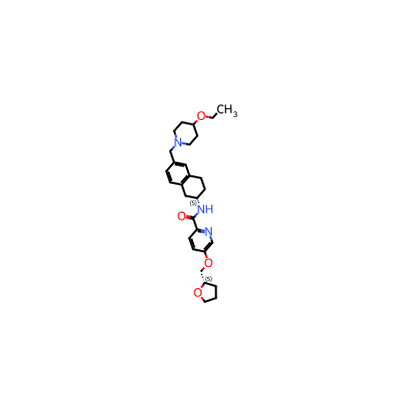 CCOC1CCN(Cc2ccc3c(c2)CC[C@H](NC(=O)c2ccc(OC[C@@H]4CCCO4)cn2)C3)CC1